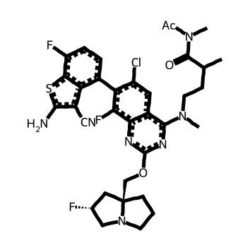 CC(=O)N(C)C(=O)C(C)CCN(C)c1nc(OC[C@@]23CCCN2C[C@H](F)C3)nc2c(F)c(-c3ccc(F)c4sc(N)c(C#N)c34)c(Cl)cc12